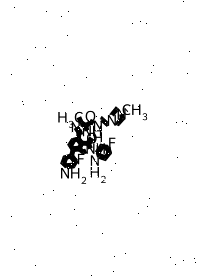 Cc1nc(-c2ccc(-c3ccc(N)cc3F)c3c2C(=O)NC3)[nH]c1C(=O)NCCN1CCN(C)CC1.Nc1ccc(F)cc1